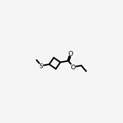 CCOC(=O)C1CC(SC)C1